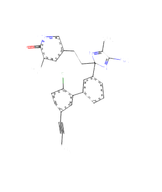 CC#Cc1ccc(F)c(-c2cccc(C3(CCc4c[nH]c(=O)c(C)c4)N=C(C)C(N)=N3)c2)c1